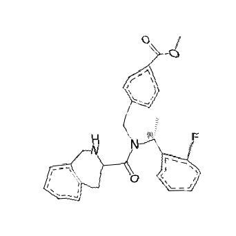 COC(=O)c1ccc(CN(C(=O)C2Cc3ccccc3CN2)[C@H](C)c2ccccc2F)cc1